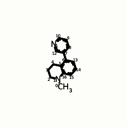 CN1CCCc2c(-c3cccnc3)cccc21